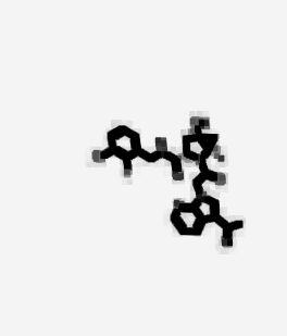 CC(=O)c1cn(CC(=O)N2[C@H](C(=O)NCc3cccc(Cl)c3F)C[C@]3(O)C[C@@]23C)c2ncccc12